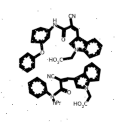 CCCN(C(=O)C(C#N)=Cc1cn(CC(=O)O)c2ccccc12)c1ccccc1.N#CC(=Cc1cn(CC(=O)O)c2ccccc12)C(=O)Nc1cccc(Oc2ccccc2)c1